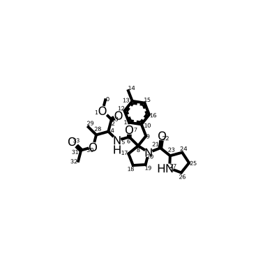 COC(=O)C(NC(=O)C1(Cc2ccc(C)cc2)CCCN1C(=O)C1CCCN1)C(C)OC(C)=O